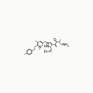 C=C(C(=O)C(C)CN)C1=CN(CC2=CC(C)=C(CCc3ccc(C)cc3)N(C)C2)NC1/C=C\CC